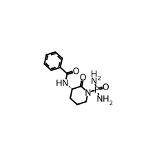 NP(N)(=O)N1CCC[C@H](NC(=O)c2ccccc2)C1=O